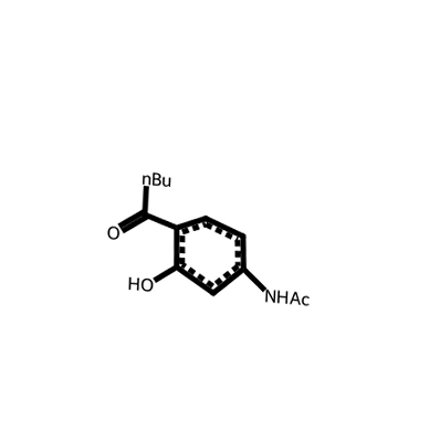 CCCCC(=O)c1ccc(NC(C)=O)cc1O